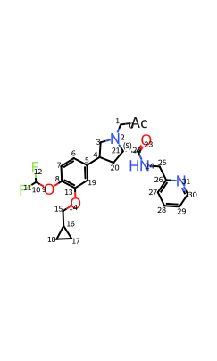 CC(=O)CN1CC(c2ccc(OC(F)F)c(OCC3CC3)c2)C[C@H]1C(=O)NCc1ccccn1